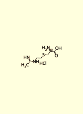 CC(=N)NCCSC[C@@H](N)C(=O)O.Cl